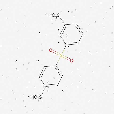 O=S(=O)(O)c1ccc(S(=O)(=O)c2cccc(S(=O)(=O)O)c2)cc1